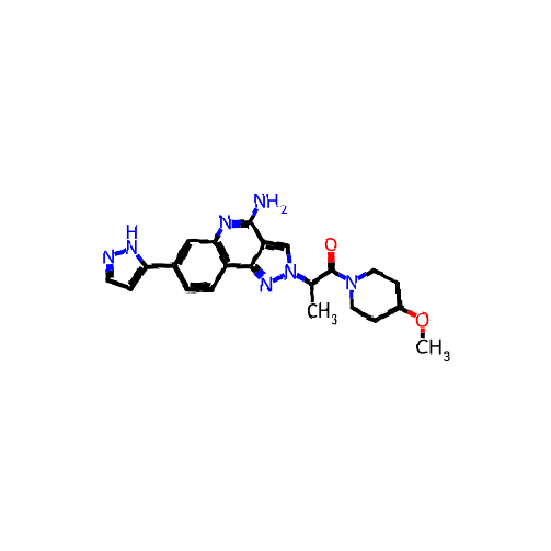 COC1CCN(C(=O)C(C)n2cc3c(N)nc4cc(-c5ccn[nH]5)ccc4c3n2)CC1